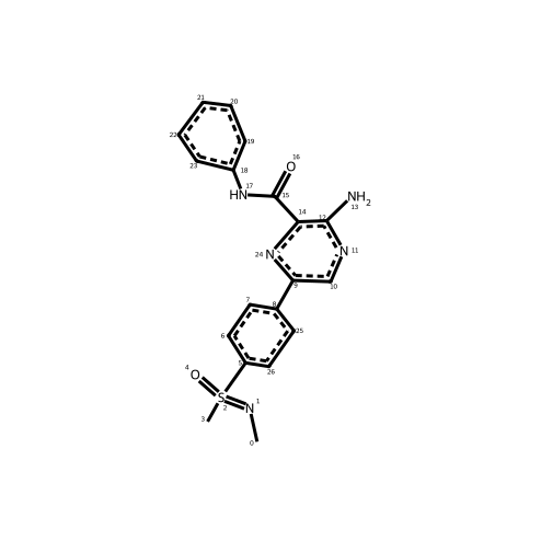 CN=S(C)(=O)c1ccc(-c2cnc(N)c(C(=O)Nc3ccccc3)n2)cc1